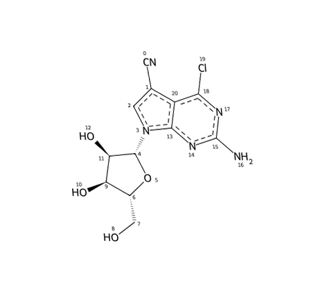 N#Cc1cn([C@@H]2O[C@H](CO)[C@@H](O)[C@H]2O)c2nc(N)nc(Cl)c12